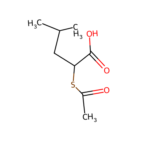 CC(=O)SC(CC(C)C)C(=O)O